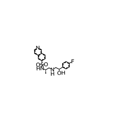 C[C@H](CNC[C@H](O)c1ccc(F)cc1)NS(=O)(=O)c1ccc2cnccc2c1